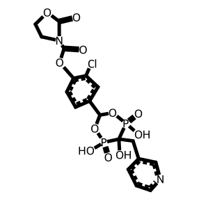 O=C1OCCN1C(=O)Oc1ccc(C2OP(=O)(O)C(O)(Cc3cccnc3)P(=O)(O)O2)cc1Cl